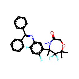 CC1(C)OCC(=O)NC(C)(c2cc(N=C(c3ccccc3)c3ccccc3)c(F)cc2F)C1(F)F